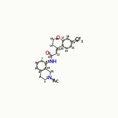 CC(=O)N1CCc2cccc(NC(=O)C=C3CCOc4cc(C(F)(F)F)ccc43)c2C1